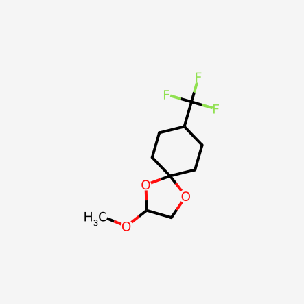 COC1COC2(CCC(C(F)(F)F)CC2)O1